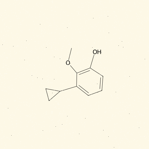 COc1c(O)cccc1C1CC1